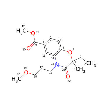 CCC1(C)Oc2ccc(C(=O)OC)cc2N(CCCOC)C1=O